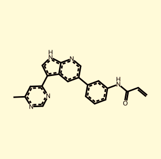 C=CC(=O)Nc1cccc(-c2cnc3[nH]cc(-c4cc(C)ncn4)c3c2)c1